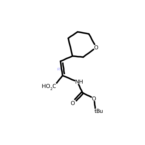 CC(C)(C)OC(=O)N/C(=C\C1CCCOC1)C(=O)O